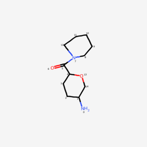 NC1CCC(C(=O)N2CC[CH]CC2)OC1